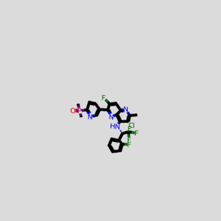 Cc1nc2cc(F)c(-c3ccc(P(C)(C)=O)nc3)nc2c(N[C@@H](c2ccccc2F)C(F)(F)F)c1Cl